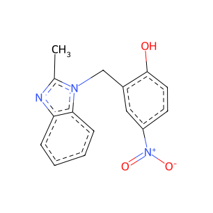 Cc1nc2ccccc2n1Cc1cc([N+](=O)[O-])ccc1O